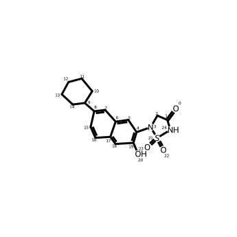 O=C1CN(c2cc3cc(C4CCCCC4)ccc3cc2O)S(=O)(=O)N1